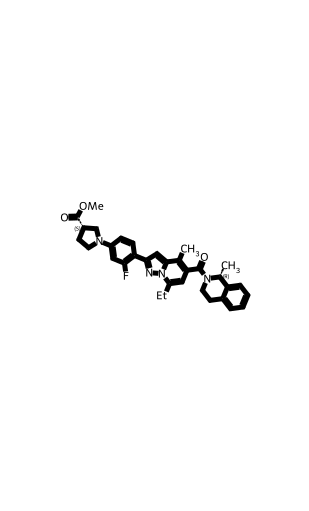 CCc1cc(C(=O)N2CCc3ccccc3[C@H]2C)c(C)c2cc(-c3ccc(N4CC[C@H](C(=O)OC)C4)cc3F)nn12